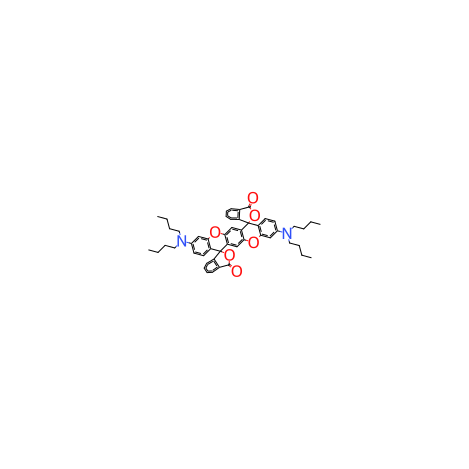 CCCCN(CCCC)c1ccc2c(c1)Oc1cc3c(cc1C21OC(=O)c2ccccc21)Oc1cc(N(CCCC)CCCC)ccc1C31OC(=O)c2ccccc21